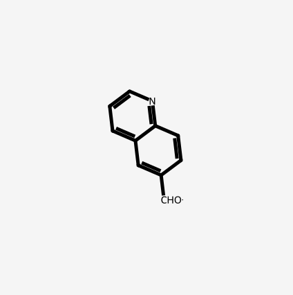 O=[C]c1ccc2ncccc2c1